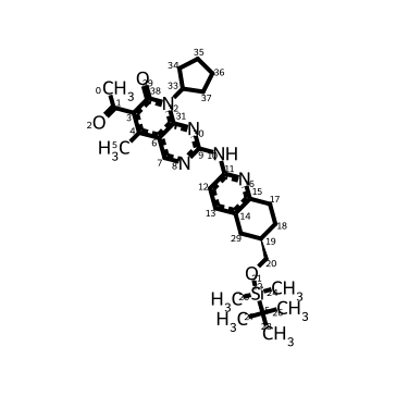 CC(=O)c1c(C)c2cnc(Nc3ccc4c(n3)CC[C@@H](CO[Si](C)(C)C(C)(C)C)C4)nc2n(C2CCCC2)c1=O